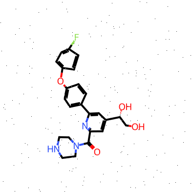 O=C(c1cc([C@H](O)CO)cc(-c2ccc(Oc3ccc(F)cc3)cc2)n1)N1CCNCC1